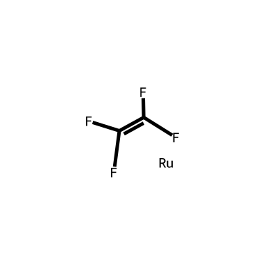 FC(F)=C(F)F.[Ru]